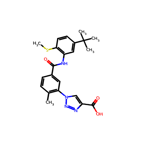 CSc1ccc(C(C)(C)C)cc1NC(=O)c1ccc(C)c(-n2cc(C(=O)O)nn2)c1